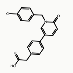 O=C(O)Cc1ccc(-c2ccc(=O)n(Cc3ccc(Cl)cc3)c2)cc1